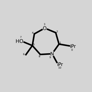 CC(C)C1COCC(C)(O)CN1C(C)C